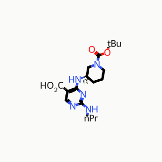 CCCNc1ncc(C(=O)O)c(N[C@@H]2CCCN(C(=O)OC(C)(C)C)C2)n1